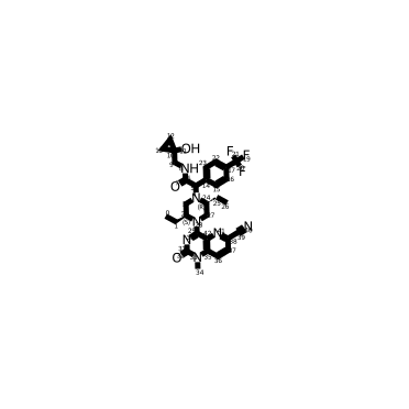 CC[C@H]1CN(C(C(=O)NCC2(O)CC2)c2ccc(C(F)(F)F)cc2)[C@H](CC)CN1c1nc(=O)n(C)c2ccc(C#N)nc12